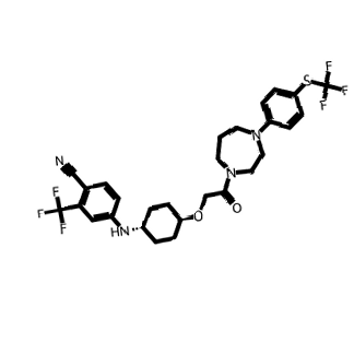 N#Cc1ccc(N[C@H]2CC[C@H](OCC(=O)N3CCCN(c4ccc(SC(F)(F)F)cc4)CC3)CC2)cc1C(F)(F)F